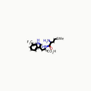 CSCC[C@H](N)C(=O)N[C@@H](Cc1c[nH]c2c(C(F)(F)F)cccc12)C(=O)O